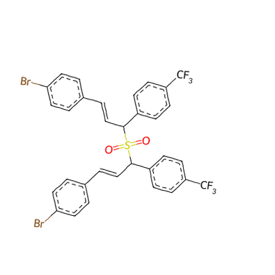 O=S(=O)(C(C=Cc1ccc(Br)cc1)c1ccc(C(F)(F)F)cc1)C(C=Cc1ccc(Br)cc1)c1ccc(C(F)(F)F)cc1